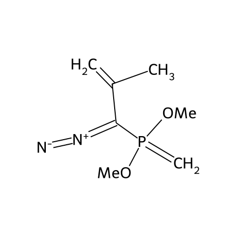 C=C(C)C(=[N+]=[N-])P(=C)(OC)OC